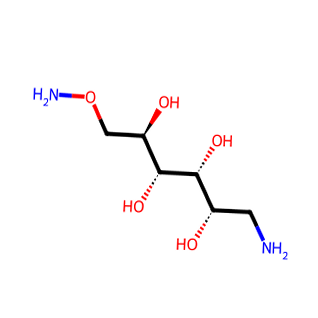 NC[C@H](O)[C@@H](O)[C@H](O)[C@H](O)CON